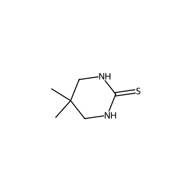 CC1(C)CNC(=S)NC1